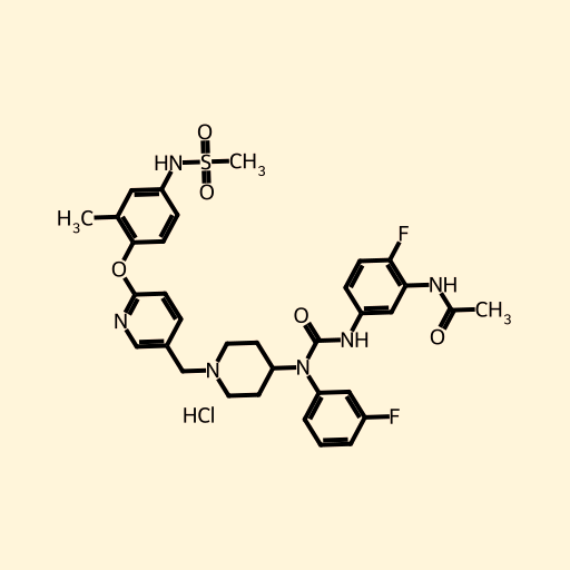 CC(=O)Nc1cc(NC(=O)N(c2cccc(F)c2)C2CCN(Cc3ccc(Oc4ccc(NS(C)(=O)=O)cc4C)nc3)CC2)ccc1F.Cl